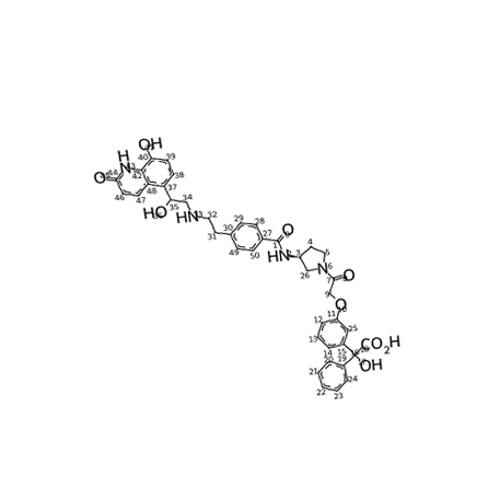 O=C(N[C@H]1CCN(C(=O)COc2cccc(C(O)(C(=O)O)c3ccccc3)c2)C1)c1ccc(CCNCC(O)c2ccc(O)c3[nH]c(=O)ccc23)cc1